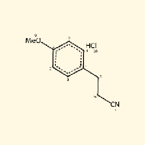 COc1ccc(CCC#N)cc1.Cl